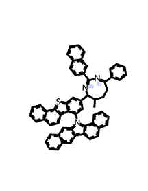 CC1CC/C(c2ccccc2)=N\C(c2ccc3ccccc3c2)=N/C1c1cc(-n2c3cc4ccccc4cc3c3ccc4ccccc4c32)c2c(c1)sc1c3ccccc3ccc12